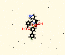 O=C(O)c1cccc(CN([C@]2(C(=O)O)C[C@H]2C2CCNCC2)S(=O)(=O)c2ccc(-c3ccc(Cl)cc3)cc2)c1